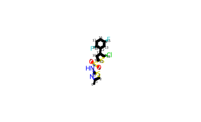 Cc1csc(NS(=O)(=O)c2cc(-c3cc(F)ccc3F)c(Cl)s2)n1